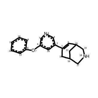 C1=C(c2cncc(Oc3ccccc3)c2)CC2CNCC1C2